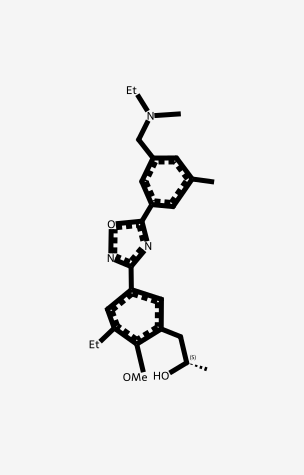 CCc1cc(-c2noc(-c3cc(C)cc(CN(C)CC)c3)n2)cc(C[C@H](C)O)c1OC